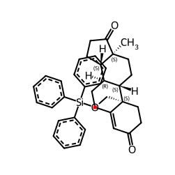 C[C@]12CC[C@H]3[C@@H](CCC4=CC(=O)CC[C@@]43CO[Si](c3ccccc3)(c3ccccc3)c3ccccc3)[C@@H]1CCC2=O